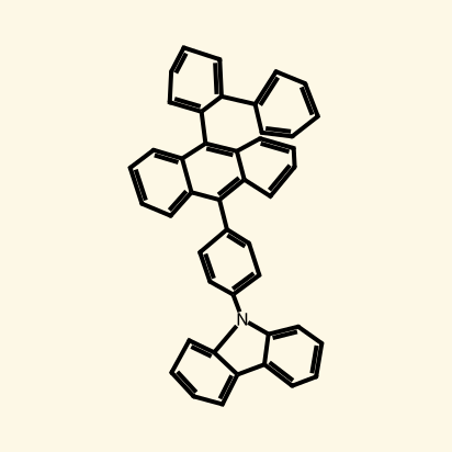 c1ccc(-c2ccccc2-c2c3ccccc3c(-c3ccc(-n4c5ccccc5c5ccccc54)cc3)c3ccccc23)cc1